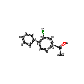 CCC(=O)c1ccc(-c2ccccc2)c(F)c1